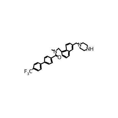 CN(Cc1cccc2cc(CN3CCNCC3)ccc12)C(=O)c1ccc(-c2ccc(C(F)(F)F)cc2)cc1